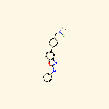 CN(Cl)Cc1ccc(-c2ccc3oc(NC4=CCCC=C4)nc3c2)cc1